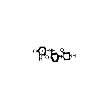 O=C1CC[C@@H](Nc2cccc(N3CCNCC3=O)c2)C(=O)N1